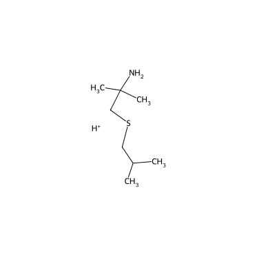 CC(C)CSCC(C)(C)N.[H+]